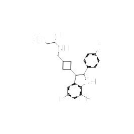 C[C@H](CO)NCC1CC(C2c3cc(F)cc(F)c3NC2c2ccc(F)cc2)C1